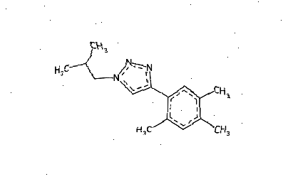 Cc1cc(C)c(-c2cn(CC(C)C)nn2)cc1C